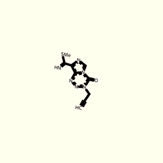 C#CCn1nnc2c(C(=N)SC)ncn2c1=O